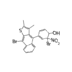 Cc1sc2c(Br)c3ccccc3c(C3=CC(Br)([N+](=O)[O-])C(O)C=C3)c2c1C